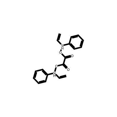 C=C[SiH](OC(=O)C(=O)O[SiH](C=C)c1ccccc1)c1ccccc1